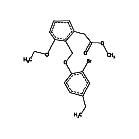 CCOc1cccc(CC(=O)OC)c1COc1ccc(CC)cc1Br